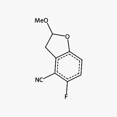 COC1Cc2c(ccc(F)c2C#N)O1